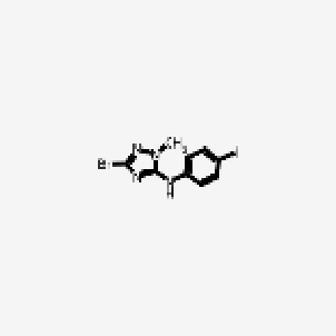 Cn1nc(Br)nc1Nc1ccc(I)cc1